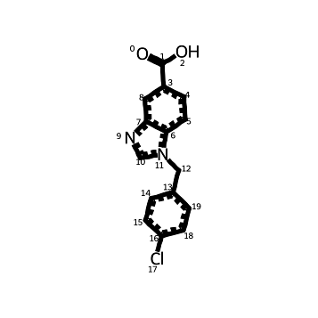 O=C(O)c1ccc2c(c1)ncn2Cc1ccc(Cl)cc1